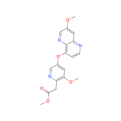 COC(=O)Cc1ncc(Oc2ccnc3cc(OC)cnc23)cc1OC